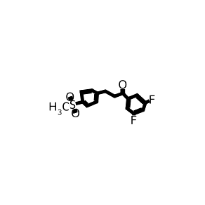 CS(=O)(=O)c1ccc(CCC(=O)c2cc(F)cc(F)c2)cc1